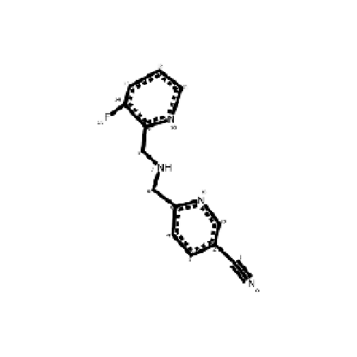 N#Cc1ccc(CNCc2ncccc2F)nc1